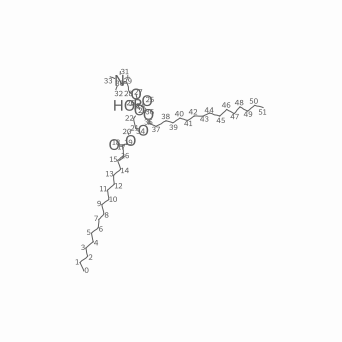 CCCCCCCCCCCCCCCC=CC(=O)OC[C@H](COP(=O)(O)OCC[N+](C)(C)C)OC(=O)CCCCCCCCCCCCCCC